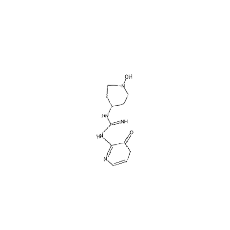 N=C(NC1=NC=CCC1=O)NC1CCN(O)CC1